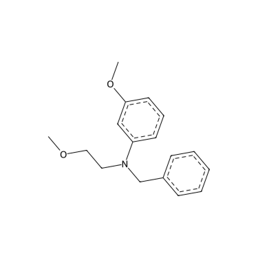 COCCN(Cc1ccccc1)c1cccc(OC)c1